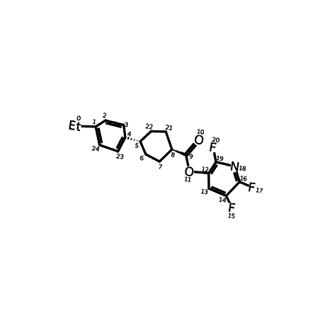 CCc1ccc([C@H]2CC[C@H](C(=O)Oc3cc(F)c(F)nc3F)CC2)cc1